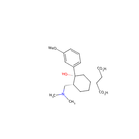 COc1cccc([C@@]2(O)CCCC[C@@H]2CN(C)C)c1.O=C(O)CCC(=O)O